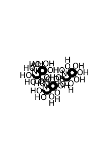 OC1=C(O)C(O)N(O)c2c(O)c(O)c(O)c(O)c21.OC1=C(O)C(O)N(O)c2c(O)c(O)c(O)c(O)c21.OC1=C(O)C(O)N(O)c2c(O)c(O)c(O)c(O)c21.[AlH3]